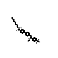 CCCCCCCCNC(=O)c1ccc(-c2ccc(CC([N]CC)c3ccc(C(F)(F)F)cc3)cc2)cc1